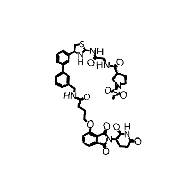 CS(=O)(=O)N1CCC(C(=O)NCC(=O)NC2NC(c3cccc(-c4cccc(CNC(=O)CCCOc5cccc6c5C(=O)N(C5CCC(=O)NC5=O)C6=O)c4)c3)CS2)C1